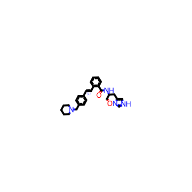 O=CC(Cc1c[nH]cn1)NC(=O)c1ccccc1/C=C/c1ccc(CN2CCCCC2)cc1